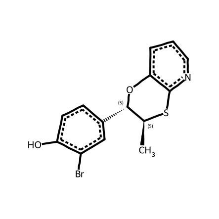 C[C@@H]1Sc2ncccc2O[C@H]1c1ccc(O)c(Br)c1